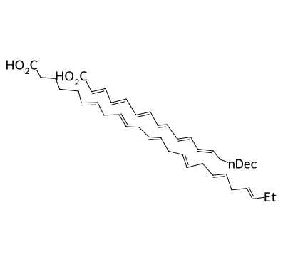 CCC=CCC=CCC=CCC=CCC=CCC=CCCCCC(=O)O.CCCCCCCCCCCC=CC=CC=CC=CC=CC=CC(=O)O